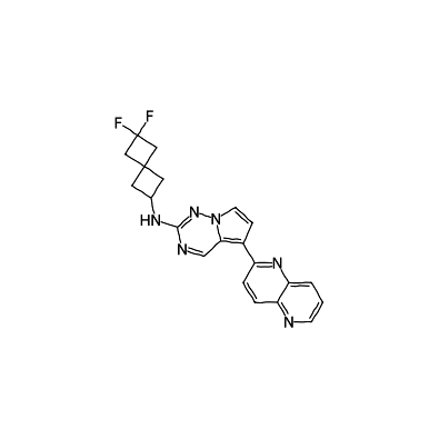 FC1(F)CC2(CC(Nc3ncc4c(-c5ccc6ncccc6n5)ccn4n3)C2)C1